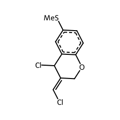 CSc1ccc2c(c1)C(Cl)C(=CCl)CO2